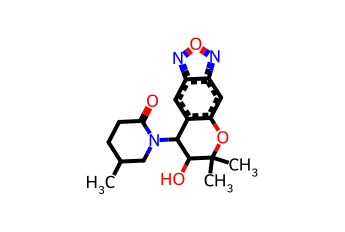 CC1CCC(=O)N(C2c3cc4nonc4cc3OC(C)(C)C2O)C1